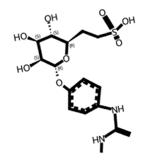 C=C(NC)Nc1ccc(O[C@H]2O[C@H](CCS(=O)(=O)O)[C@@H](O)[C@H](O)[C@@H]2O)cc1